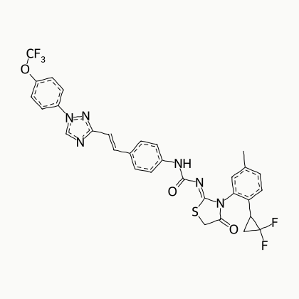 Cc1ccc(C2CC2(F)F)c(N2C(=O)CSC2=NC(=O)Nc2ccc(C=Cc3ncn(-c4ccc(OC(F)(F)F)cc4)n3)cc2)c1